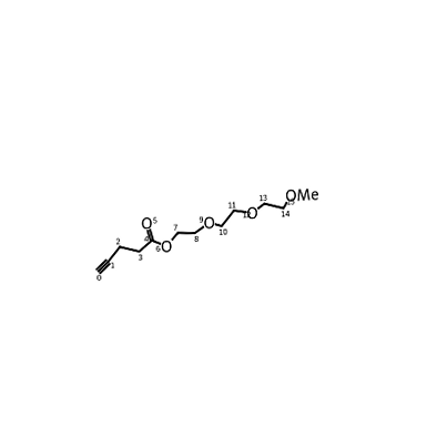 C#CCCC(=O)OCCOCCOCCOC